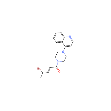 CC(Br)C=CC(=O)N1CCN(c2ccnc3ccccc23)CC1